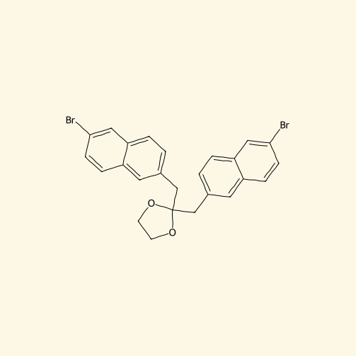 Brc1ccc2cc(CC3(Cc4ccc5cc(Br)ccc5c4)OCCO3)ccc2c1